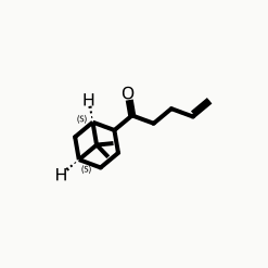 C=CCCC(=O)C1CC[C@H]2C[C@@H]1C2(C)C